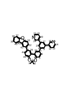 CC1(C)Oc2ccc(-c3cc(-c4cccnc4)cc(-c4cccnc4)c3)cc2-c2cc(-c3ccc4oc5ccccc5c4c3)ccc2O1